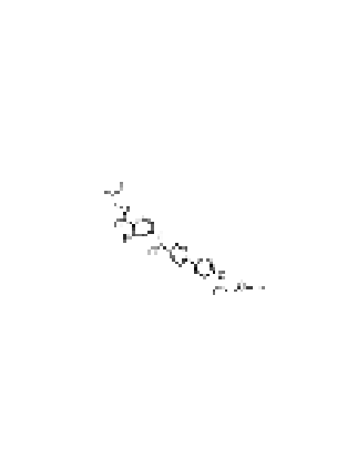 CCCOC(C)C(=O)Oc1ccc(-c2ccc(C(=O)Oc3ccc(C(=O)OCC(C)CC)c(F)c3)cc2)cc1